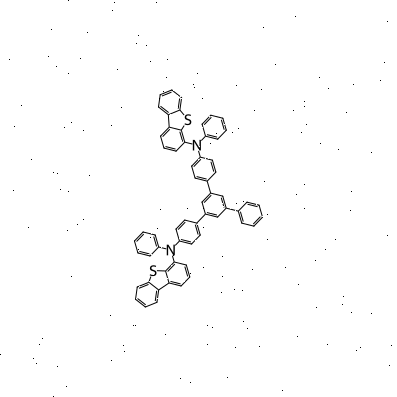 c1ccc(-c2cc(-c3ccc(N(c4ccccc4)c4cccc5c4sc4ccccc45)cc3)cc(-c3ccc(N(c4ccccc4)c4cccc5c4sc4ccccc45)cc3)c2)cc1